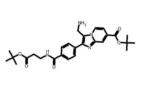 CC(C)(C)OC(=O)CCNC(=O)c1ccc(-c2nc3cc(C(=O)OC(C)(C)C)ccn3c2CN)cc1